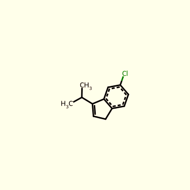 CC(C)C1=CCc2ccc(Cl)cc21